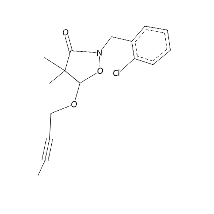 CC#CCOC1ON(Cc2ccccc2Cl)C(=O)C1(C)C